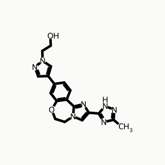 Cc1n[nH]c(-c2cn3c(n2)-c2ccc(-c4cnn(CCO)c4)cc2OCC3)n1